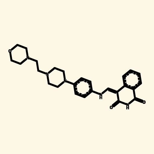 O=C1NC(=O)c2ccccc2C1=CNc1ccc(N2CCN(CCN3CCOCC3)CC2)cc1